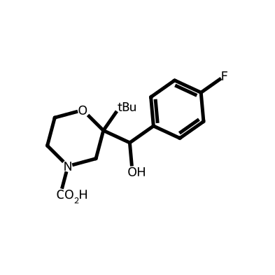 CC(C)(C)C1(C(O)c2ccc(F)cc2)CN(C(=O)O)CCO1